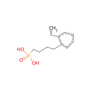 C=Cc1ccccc1CCCCP(=O)(O)O